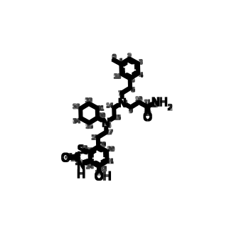 Cc1cccc(CCN(CCC(N)=O)CCN(CCc2ccc(O)c3[nH]c(=O)sc23)C2CCCCC2)c1